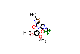 C#Cc1nc(C(=O)N(c2cc(OC)cc(OC)c2)[C@@H]2CCN(CC(F)(F)F)C2=O)cs1